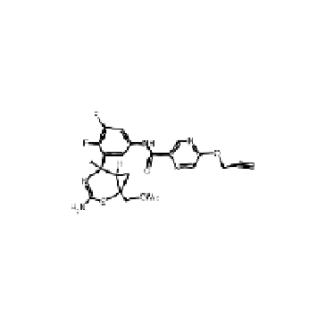 C#CCOc1cnc(C(=O)Nc2cc(F)c(F)c([C@@]3(C)N=C(N)S[C@@]4(COC)C[C@H]43)c2)cn1